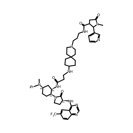 CC(C)N(C)[C@@H]1CC[C@H](N2CC[C@H](Nc3ncnc4ccc(C(F)(F)F)cc34)C2=O)[C@H](NC(=O)CCNC2CCC3(CC2)CCN(CCCNC(=O)C2CC(=O)N(C)C2c2cccnc2)CC3)C1